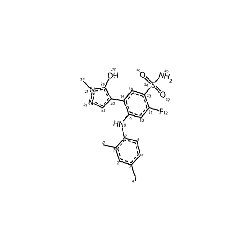 Cc1cc(I)ccc1Nc1cc(F)c(S(N)(=O)=O)cc1-c1cnn(C)c1O